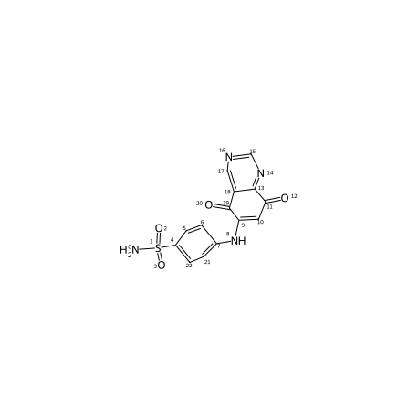 NS(=O)(=O)c1ccc(NC2=CC(=O)c3ncncc3C2=O)cc1